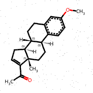 COc1ccc2c(c1)CC[C@@H]1[C@@H]2CC[C@]2(C)C(C(C)=O)=CC[C@@H]12